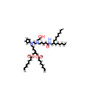 CCCCCCCCC(CCCCCC)CNC(=O)CCCCN(CCO)CCN(CCCCC(COC(=O)CCCCCCC)COC(=O)CCCCCCC)C1CCCC1